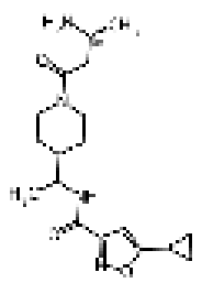 CC(NC(=O)c1cc(C2CC2)on1)C1CCN(C(=O)C[C@H](C)N)CC1